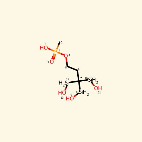 CP(=O)(O)OCCC([SiH2]O)([SiH2]O)[SiH2]O